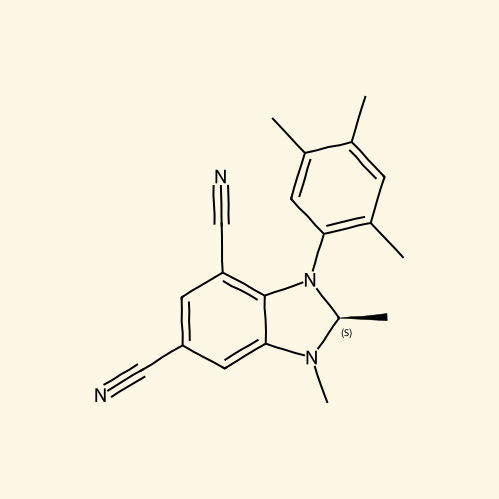 Cc1cc(C)c(N2c3c(C#N)cc(C#N)cc3N(C)[C@@H]2C)cc1C